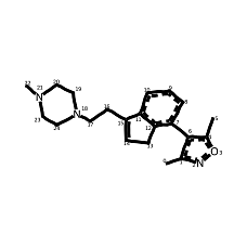 Cc1noc(C)c1-c1cccc2c1CC=C2CCN1CCN(C)CC1